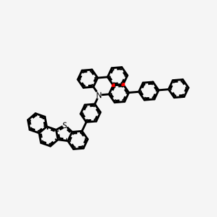 c1ccc(-c2ccc(-c3ccc(N(c4ccc(-c5cccc6c5sc5c7ccccc7ccc65)cc4)c4ccccc4-c4ccccc4)cc3)cc2)cc1